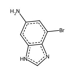 Nc1cc(Br)c2nc[nH]c2c1